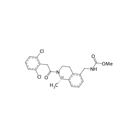 COC(=O)NCc1cccc2c1CCN(C(=O)Cc1c(Cl)cccc1Cl)[C@H]2C